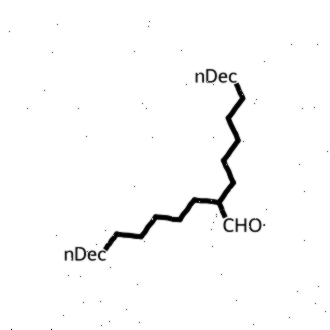 CCCCCCCCCCCCCCCC([C]=O)CCCCCCCCCCCCCCC